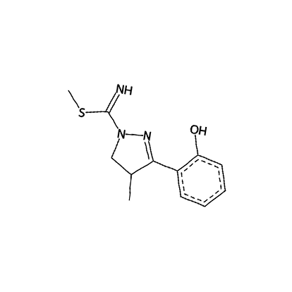 CSC(=N)N1CC(C)C(c2ccccc2O)=N1